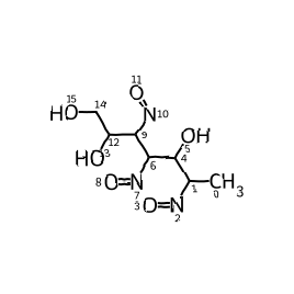 CC(N=O)C(O)C(N=O)C(N=O)C(O)CO